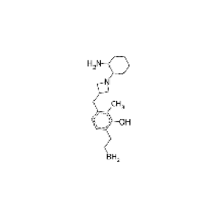 BCCc1ccc(CC2CN(C3CCCCC3N)C2)c(C)c1O